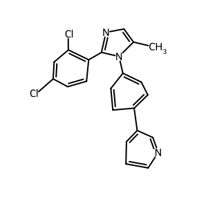 Cc1cnc(-c2ccc(Cl)cc2Cl)n1-c1ccc(-c2cccnc2)cc1